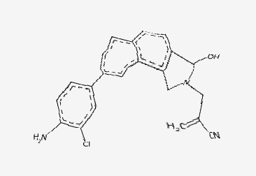 C=C(C#N)CN1Cc2c(ccc3ccc(-c4ccc(N)c(Cl)c4)cc23)C1O